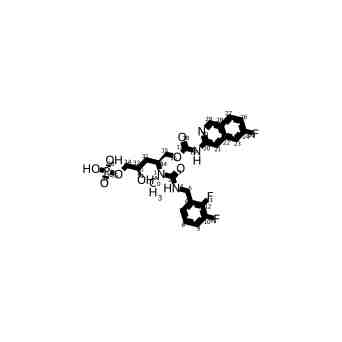 CN(C(=O)NCc1cccc(F)c1F)[C@H](COC(=O)Nc1cc2cc(F)ccc2cn1)C[C@@H](O)COP(=O)(O)O